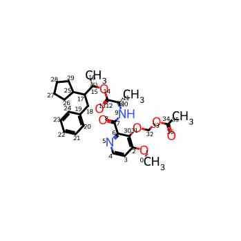 COc1ccnc(C(=O)N[C@@H](C)C(=O)O[C@@H](C)C(Cc2ccccc2)C2CCCC2)c1OCOC(C)=O